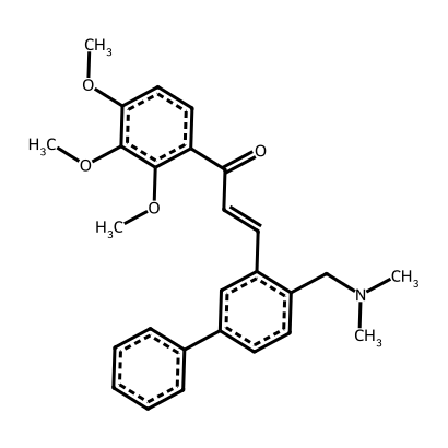 COc1ccc(C(=O)C=Cc2cc(-c3ccccc3)ccc2CN(C)C)c(OC)c1OC